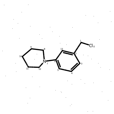 ClCc1cccc(N2CCCCC2)c1